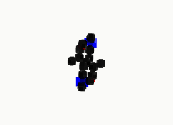 c1ccc(-c2cc(-c3ccccc3)cc(-c3c4ccc(-c5ccc(-c6nc7ccccc7n6-c6ccccc6)cc5)cc4c(-c4cc(-c5ccccc5)cc(-c5ccccc5)c4)c4ccc(-c5ccc(-c6nc7ccccc7n6-c6ccccc6)cc5)cc34)c2)cc1